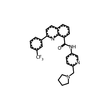 O=C(Nc1ccc(CN2CCCC2)nc1)c1cccc2ccc(-c3cccc(C(F)(F)F)c3)nc12